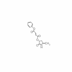 C=C1CC(OC(=O)/C=C/C(=O)Oc2ccccc2)C(=O)N1